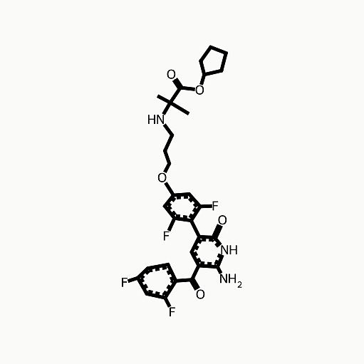 CC(C)(NCCCOc1cc(F)c(-c2cc(C(=O)c3ccc(F)cc3F)c(N)[nH]c2=O)c(F)c1)C(=O)OC1CCCC1